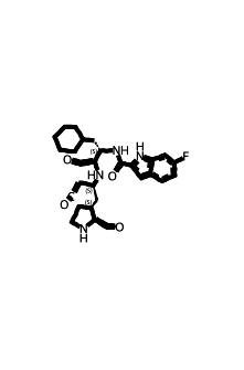 O=C=C[C@H](C[C@@H]1CCNC1=C=O)NC(=C=O)[C@H](CC1CCCCC1)NC(=O)c1cc2ccc(F)cc2[nH]1